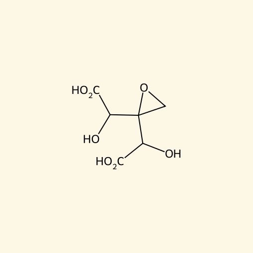 O=C(O)C(O)C1(C(O)C(=O)O)CO1